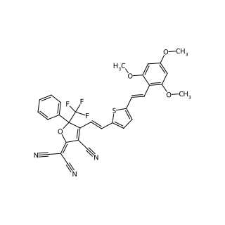 COc1cc(OC)c(C=Cc2ccc(C=CC3=C(C#N)C(=C(C#N)C#N)OC3(c3ccccc3)C(F)(F)F)s2)c(OC)c1